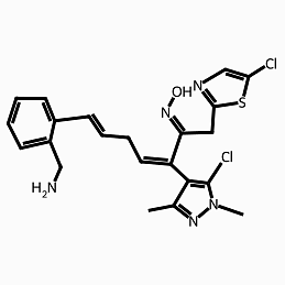 Cc1nn(C)c(Cl)c1C(=CCC=Cc1ccccc1CN)C(Cc1ncc(Cl)s1)=NO